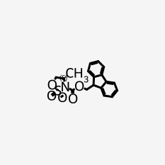 C[C@H]1COS(=O)(=O)N1C(=O)OCC1c2ccccc2-c2ccccc21